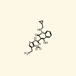 NCc1csc2c1S(=O)(=O)N=C(c1c(O)c3ccccc3n(NCC3CC3)c1=O)N2